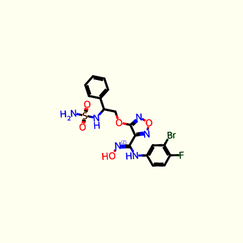 NS(=O)(=O)NC(COc1nonc1/C(=N/O)Nc1ccc(F)c(Br)c1)c1ccccc1